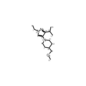 CCn1cc(N2CCC(COC)CC2)c(C(C)C)n1